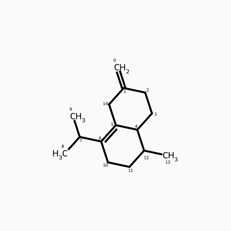 C=C1CCC2C(=C(C(C)C)CCC2C)C1